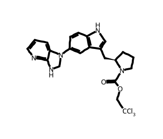 O=C(OCC(Cl)(Cl)Cl)N1CCC[C@@H]1Cc1c[nH]c2ccc(N3CNc4ncccc43)cc12